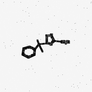 CCOC(=O)c1ncc(C(C)(C)c2ccccc2)o1